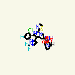 O=S(=O)(N[C@H]1CC2=C(c3ccn(C(F)F)n3)[C@H](c3ccc(F)cc3Cl)N=C(c3nccs3)N2C1)N1C2CC[C@H]1C[C@H](O)C2